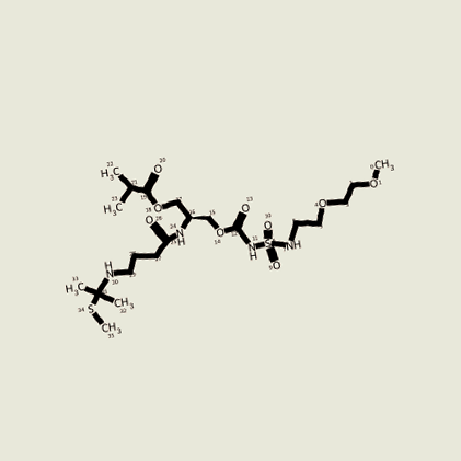 COCCOCCNS(=O)(=O)NC(=O)OC[C@H](COC(=O)C(C)C)NC(=O)CCCNC(C)(C)SC